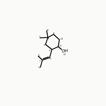 CC(C)=CC1CC(C)(C)CCC1O